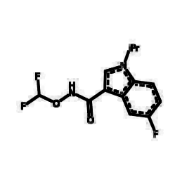 CC(C)n1cc(C(=O)NOC(F)F)c2cc(F)ccc21